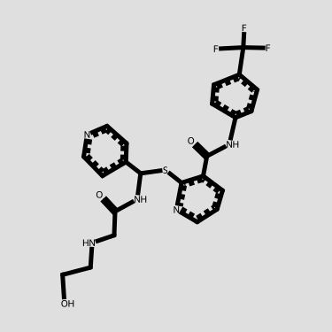 O=C(CNCCO)NC(Sc1ncccc1C(=O)Nc1ccc(C(F)(F)F)cc1)c1ccncc1